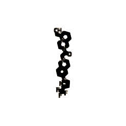 CCC1CCCC2CN(C(=O)CN3CCc4cc(-n5ccc(C(F)(F)F)n5)ccc4C3)CCN12